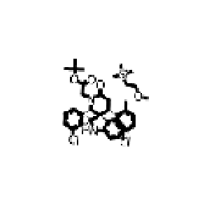 COCC[Si](C)(C)C.Cc1ccc(F)cc1[C@H]1CC(=O)N(CC(=O)OC(C)(C)C)[C@@H](c2cccc(Cl)c2)[C@]12C(=O)Nc1cc(Cl)ccc12